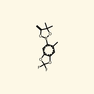 C=C1OB(c2cc3c(cc2C)OC(F)(F)O3)OC1(C)C